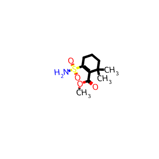 COC(=O)C1=C(S(N)(=O)=O)CCCC1(C)C